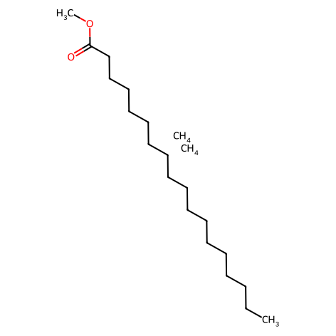 C.C.CCCCCCCCCCCCCCCCCC(=O)OC